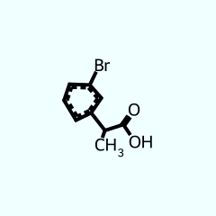 CC(C(=O)O)c1cccc(Br)c1